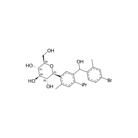 Cc1cc(Br)ccc1C(O)c1cc([C@@H]2O[C@H](CO)[C@@H](O)[C@H](O)[C@H]2O)c(C)cc1C(C)C